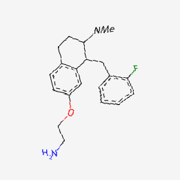 CNC1CCc2ccc(OCCN)cc2C1Cc1ccccc1F